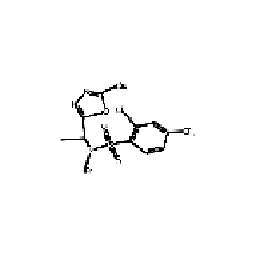 CC(C)N(C(C)c1nnc(C(C)(C)C)o1)S(=O)(=O)c1ccc(C(F)(F)F)cc1Cl